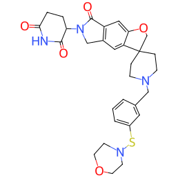 O=C1CCC(N2Cc3cc4c(cc3C2=O)OCC42CCN(Cc3cccc(SN4CCOCC4)c3)CC2)C(=O)N1